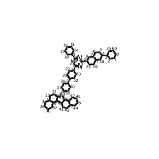 c1ccc(-c2ccc3cc(-c4nc(-c5ccccc5)nc(-c5ccc(-c6ccc(-n7c8ccc9ccccc9c8c8ccc9ccccc9c87)cc6)cc5)n4)ccc3c2)cc1